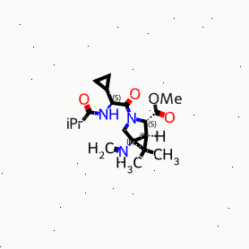 C=N[C@]12CN(C(=O)[C@@H](NC(=O)C(C)C)C3CC3)[C@H](C(=O)OC)[C@H]1C2(C)C